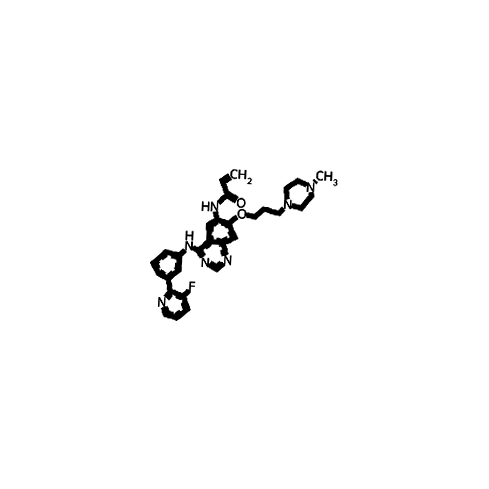 C=CC(=O)Nc1cc2c(Nc3cccc(-c4ncccc4F)c3)ncnc2cc1OCCCN1CCN(C)CC1